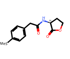 CSc1ccc(CC(=O)N[C@H]2CCOC2=O)cc1